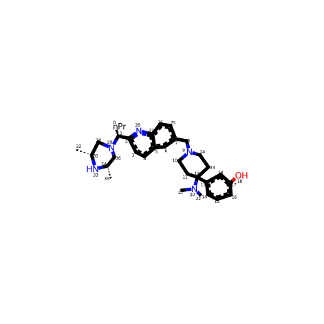 CCC[C@@H](c1ccc2cc(CN3CCC(c4cccc(O)c4)(N(C)C)CC3)ccc2n1)N1C[C@@H](C)N[C@@H](C)C1